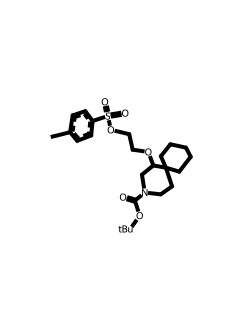 Cc1ccc(S(=O)(=O)OCCOC2CN(C(=O)OC(C)(C)C)CCC23CCCCC3)cc1